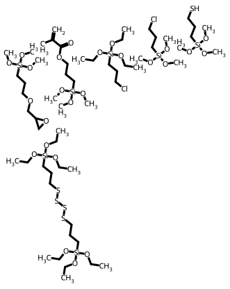 C=C(C)C(=O)OCCC[Si](OC)(OC)OC.CCO[Si](CCCCl)(OCC)OCC.CCO[Si](CCCSSSSCCC[Si](OCC)(OCC)OCC)(OCC)OCC.CO[Si](CCCCl)(OC)OC.CO[Si](CCCOCC1CO1)(OC)OC.CO[Si](CCCS)(OC)OC